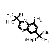 CCCCCCCC(C)(CCCC)c1cc(C)c2nc(C(C)(C)CC)cnc2c1